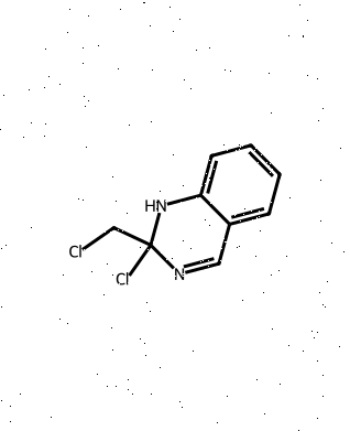 ClCC1(Cl)N=Cc2ccccc2N1